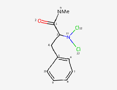 CNC(=O)C(Cc1ccccc1)N(Cl)Cl